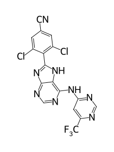 N#Cc1cc(Cl)c(-c2nc3ncnc(Nc4cc(C(F)(F)F)ncn4)c3[nH]2)c(Cl)c1